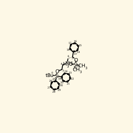 CC(C)(C)[Si](OCCNC[C@@H](O[Si](C)(C)C)c1ccccc1)(c1ccccc1)c1ccccc1